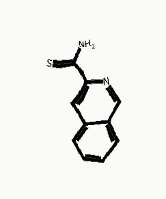 NC(=S)c1cc2ccccc2cn1